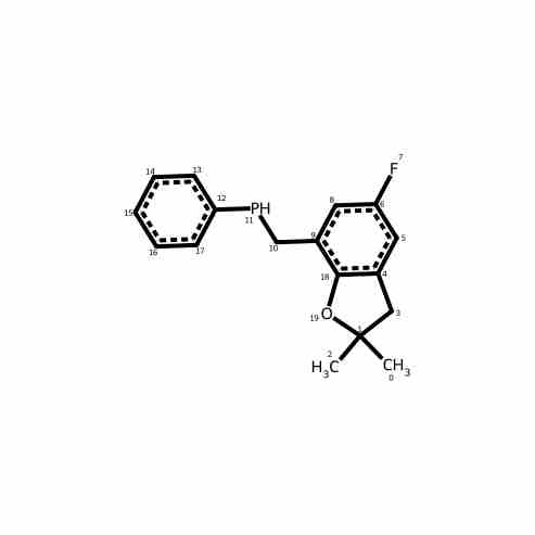 CC1(C)Cc2cc(F)cc(CPc3ccccc3)c2O1